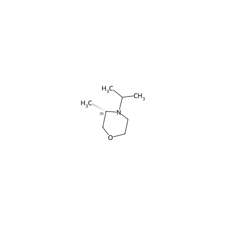 CC(C)N1CCOC[C@@H]1C